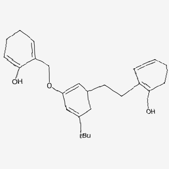 CC(C)(C)C1=CC(OCC2=CCCC=C2O)=CC(CCC2=C(O)CCC=C2)C1